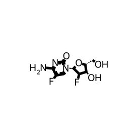 Nc1nc(=O)n([C@@H]2O[C@H](CO)[C@@H](O)C2F)cc1F